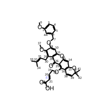 COc1cccc(COc2cc3oc4cc5c(c(OC/C=C/C(=O)O)c4c(=O)c3c(CC=C(C)C)c2OC)C=CC(C)(C)O5)c1